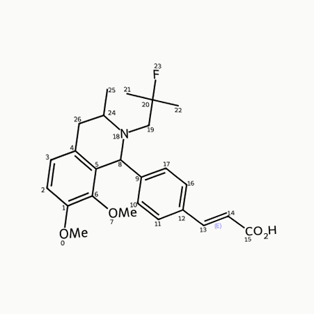 COc1ccc2c(c1OC)C(c1ccc(/C=C/C(=O)O)cc1)N(CC(C)(C)F)C(C)C2